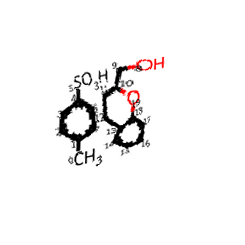 Cc1ccc(S(=O)(=O)O)cc1.OCC1CCc2ccccc2O1